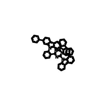 c1ccc(-c2ccc3c4ccc(-c5ccccc5)cc4n(-c4ccccc4-c4nc(-c5ccccc5-c5ccccc5)nc(-n5c6ccccc6c6ccccc65)n4)c3c2)cc1